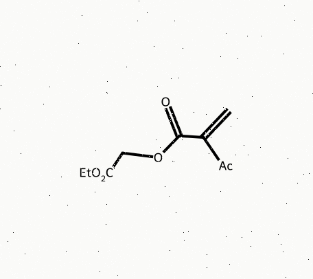 C=C(C(C)=O)C(=O)OCC(=O)OCC